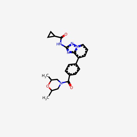 CC1CN(C(=O)c2ccc(-c3cccn4nc(NC(=O)C5CC5)nc34)cc2)CC(C)O1